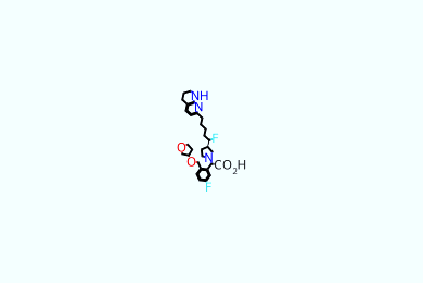 O=C(O)C(c1cc(F)ccc1CO[C@@H]1CCOC1)N1CC[C@@H](C(F)CCCCc2ccc3c(n2)NCCC3)C1